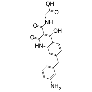 Nc1cccc(Cc2ccc3c(O)c(C(=O)NCC(=O)O)c(=O)[nH]c3c2)c1